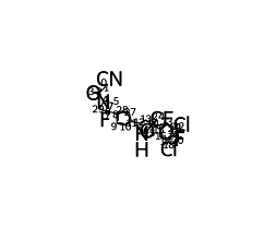 N#CCC(=O)N1CC(F)(c2ccc(C3CC(c4cc(Cl)c(F)c(Cl)c4)(C(F)(F)F)ON3)cc2)C1